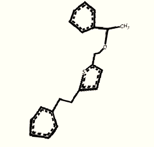 CC(OCc1ccc(CCc2ccccc2)s1)c1ccccc1